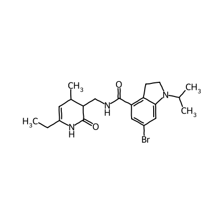 CCC1=CC(C)C(CNC(=O)c2cc(Br)cc3c2CCN3C(C)C)C(=O)N1